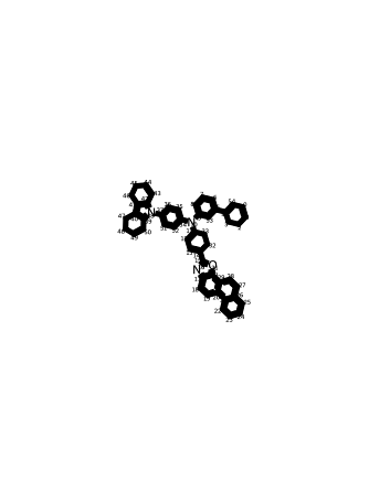 C1=CCCC(c2cccc(N(C3=CC=C(c4nc5ccc6c7ccccc7ccc6c5o4)CC3)c3ccc(-n4c5c(c6c4C=CCC6)CCC=C5)cc3)c2)=C1